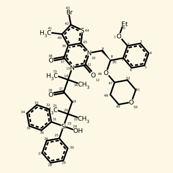 CCOc1ccccc1[C@H](Cn1c(=O)n(C(C)(C)C(=O)CC(C)(C)[Si](O)(c2ccccc2)c2ccccc2)c(=O)c2c(C)c(Br)sc21)OC1CCOCC1